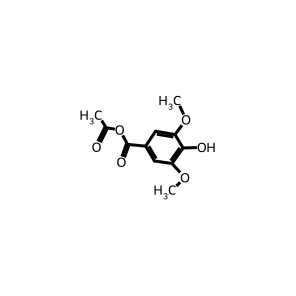 COc1cc(C(=O)OC(C)=O)cc(OC)c1O